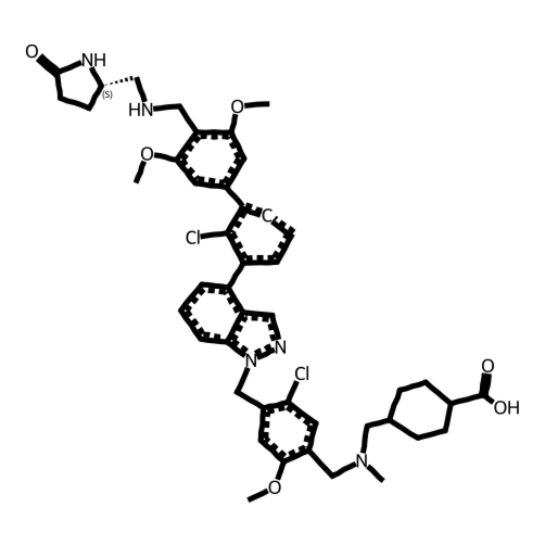 COc1cc(Cn2ncc3c(-c4cccc(-c5cc(OC)c(CNC[C@@H]6CCC(=O)N6)c(OC)c5)c4Cl)cccc32)c(Cl)cc1CN(C)CC1CCC(C(=O)O)CC1